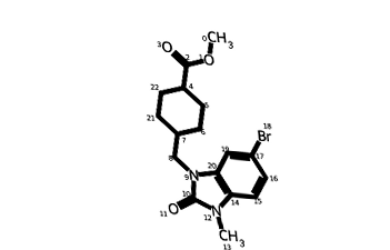 COC(=O)C1CCC(Cn2c(=O)n(C)c3ccc(Br)cc32)CC1